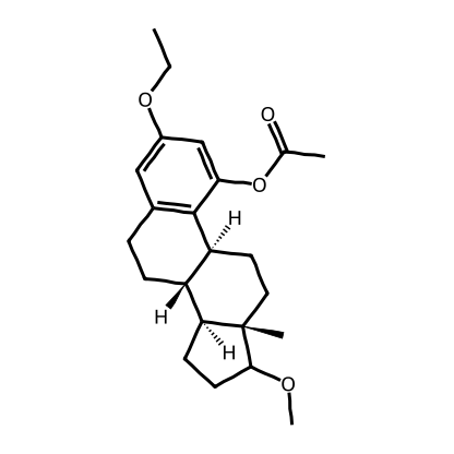 CCOc1cc2c(c(OC(C)=O)c1)[C@H]1CC[C@]3(C)C(OC)CC[C@H]3[C@@H]1CC2